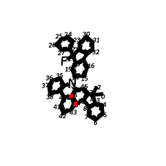 CC1(C)c2ccccc2-c2ccc(N(c3ccc4c(c3)C(F)(c3ccccc3)c3ccccc3-4)c3ccccc3-c3ccccc3)cc21